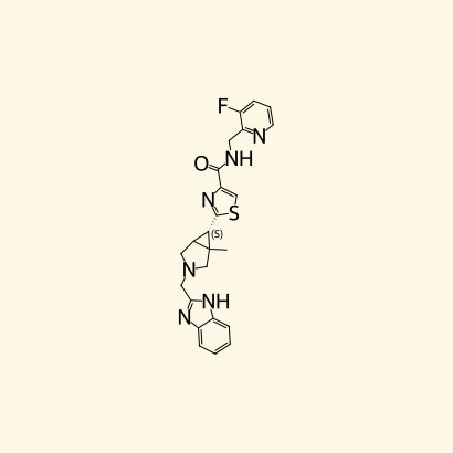 CC12CN(Cc3nc4ccccc4[nH]3)CC1[C@@H]2c1nc(C(=O)NCc2ncccc2F)cs1